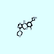 Fc1cc(C2CNC2)cc2c1OCc1c(ncnc1N1CCOCC1)N2